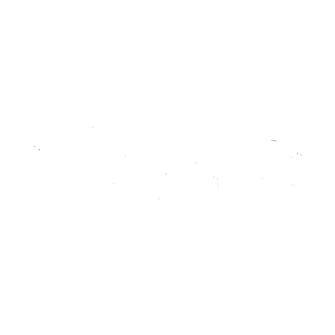 N#Cc1cc2ccc(C(=O)NC3CC4CC3CN4)cc2o1